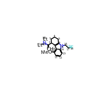 C=C(C1CCCc2c1c1c(OC)cccc1n2CC[18F])N(CC)CC